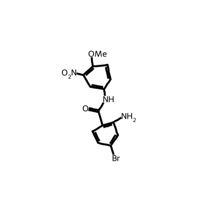 COc1ccc(NC(=O)c2ccc(Br)cc2N)cc1[N+](=O)[O-]